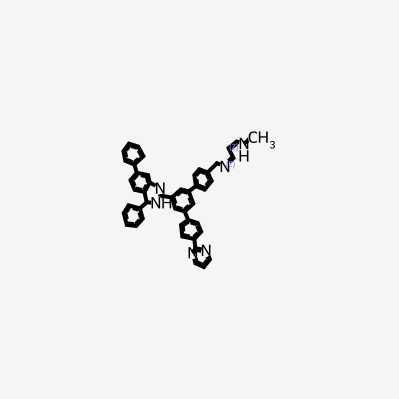 CN/C=C\C=N/Cc1ccc(-c2cc(C3=Nc4cc(-c5ccccc5)ccc4C(c4ccccc4)N3)cc(-c3ccc(-c4ncccn4)cc3)c2)cc1